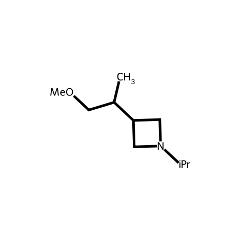 COCC(C)C1CN(C(C)C)C1